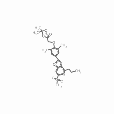 CCCc1nc(S(C)(=O)=O)nc2oc(-c3cc(C)c(OCC(=O)OC(C)(C)C)c(C)c3)nc12